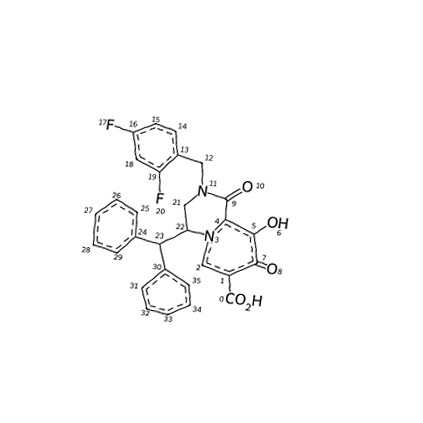 O=C(O)c1cn2c(c(O)c1=O)C(=O)N(Cc1ccc(F)cc1F)CC2C(c1ccccc1)c1ccccc1